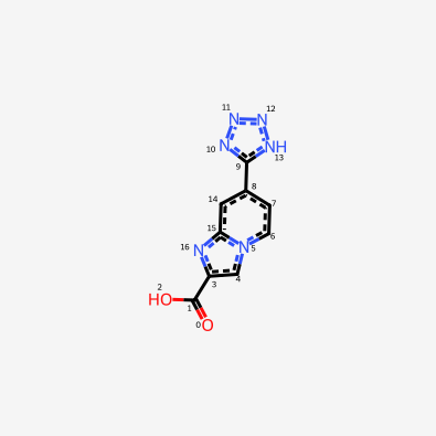 O=C(O)c1cn2ccc(-c3nnn[nH]3)cc2n1